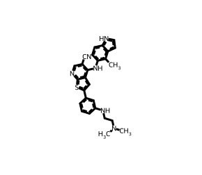 Cc1c(Nc2c(C#N)cnc3sc(-c4cccc(NCCN(C)C)c4)cc23)ccc2[nH]ccc12